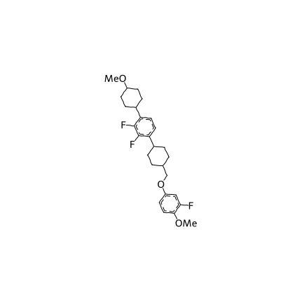 COc1ccc(OCC2CCC(c3ccc(C4CCC(OC)CC4)c(F)c3F)CC2)cc1F